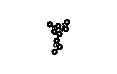 c1ccc(-c2cccc3c2oc2ccc(-c4ccc(N(c5cccc6c5sc5ccccc56)c5cccc6c5c5ccccc5n6-c5ccccc5)cc4)cc23)cc1